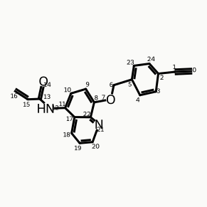 C#Cc1ccc(COc2ccc(NC(=O)C=C)c3cccnc23)cc1